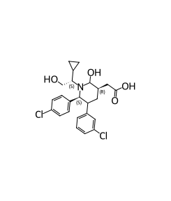 O=C(O)C[C@H]1CC(c2cccc(Cl)c2)[C@@H](c2ccc(Cl)cc2)N([C@H](CO)C2CC2)C1O